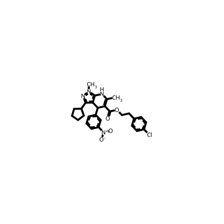 CC1=C(C(=O)OCCc2ccc(Cl)cc2)C(c2cccc([N+](=O)[O-])c2)c2c(C3CCCC3)nn(C)c2N1